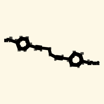 CCCCCc1ccc(C#CCCC#Cc2ccc(CCC)cc2)cc1